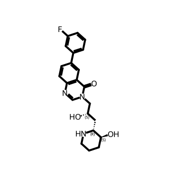 O=c1c2cc(-c3cccc(F)c3)ccc2ncn1C[C@@H](O)C[C@H]1NCCC[C@@H]1O